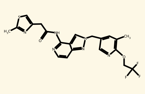 Cc1nc(CC(=O)Nc2nccc3nn(Cc4cnc(OCC(F)(F)F)c(C)c4)cc23)cs1